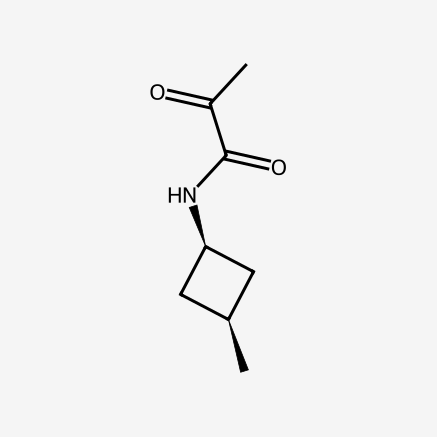 CC(=O)C(=O)N[C@H]1C[C@@H](C)C1